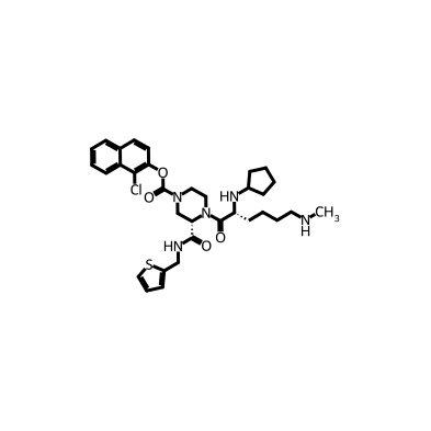 CNCCCC[C@@H](NC1CCCC1)C(=O)N1CCN(C(=O)Oc2ccc3ccccc3c2Cl)C[C@H]1C(=O)NCc1cccs1